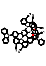 N#Cc1cccc2c1c1c(C#N)cccc1n2-c1nc(-c2ccc(-n3c4ccccc4c4ccccc43)cc2)c(-n2c3cccc(C#N)c3c3c(C#N)cccc32)c(-c2cccc3c2c2ccccc2n3-c2ccccc2)c1-n1c2cccc(C#N)c2c2c(C#N)cccc21